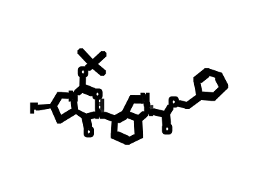 CC(C)(C)OC(=O)N1C[C@H](F)C[C@@H]1C(=O)Nc1cccc2c1cnn2C(=O)OCc1ccccc1